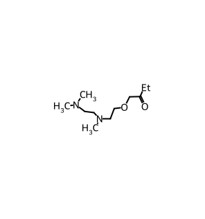 CCC(=O)COCCN(C)CCN(C)C